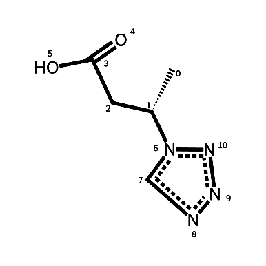 C[C@@H](CC(=O)O)n1cnnn1